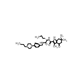 CCCC[C@H](NC(=O)c1[nH]c2c(c1C)C(=O)CC(C)(C)C2)C(=O)NCc1ccc(N2CCN(CCCC)CC2)cc1